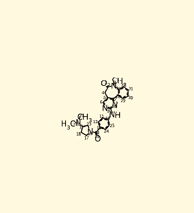 CN1C(=O)Cc2cnc(Nc3ccc(C(=O)N4CC[C@@H](N(C)C)C4)cc3)nc2-c2ccccc21